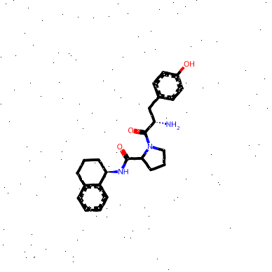 N[C@@H](Cc1ccc(O)cc1)C(=O)N1CCCC1C(=O)N[C@@H]1CCCc2ccccc21